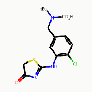 CC(C)(C)N(Cc1ccc(Cl)c(NC2=NC(=O)CS2)c1)C(=O)O